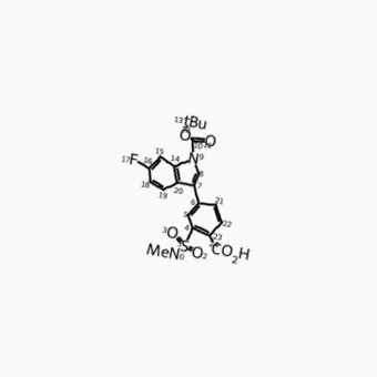 CNS(=O)(=O)c1cc(-c2cn(C(=O)OC(C)(C)C)c3cc(F)ccc23)ccc1C(=O)O